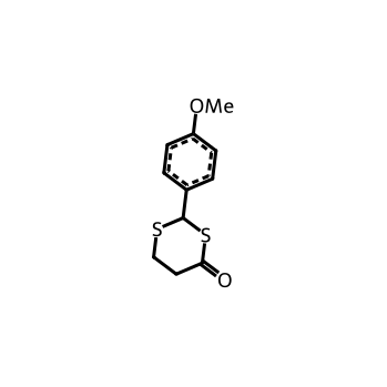 COc1ccc(C2SCCC(=O)S2)cc1